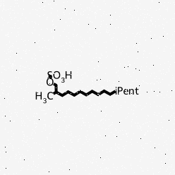 CCCC(C)CCCCCCCCCC(C)COS(=O)(=O)O